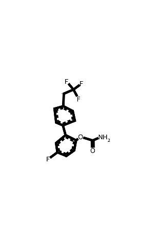 NC(=O)Oc1ccc(F)cc1-c1ccc([CH]C(F)(F)F)cc1